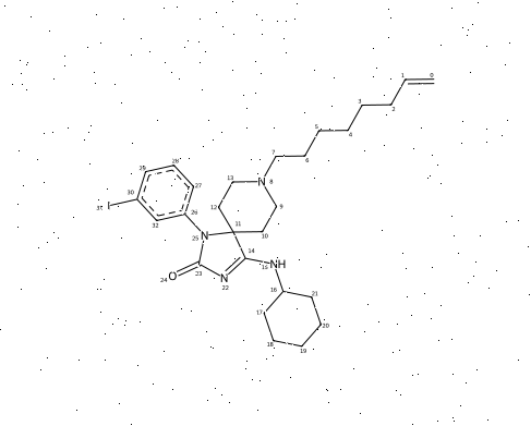 C=CCCCCCCN1CCC2(CC1)C(NC1CCCCC1)=NC(=O)N2c1cccc(I)c1